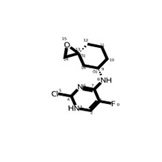 FC1=CNC(Cl)N=C1N[C@H]1CCC[C@@]2(CO2)C1